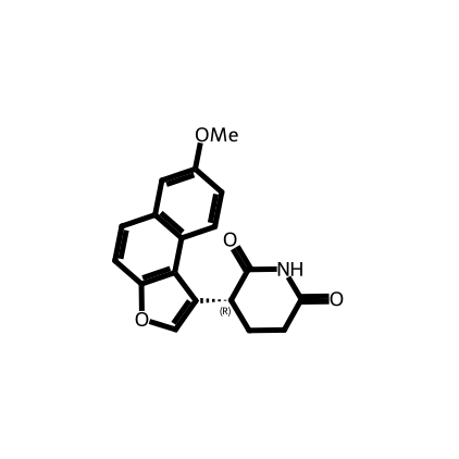 COc1ccc2c(ccc3occ([C@H]4CCC(=O)NC4=O)c32)c1